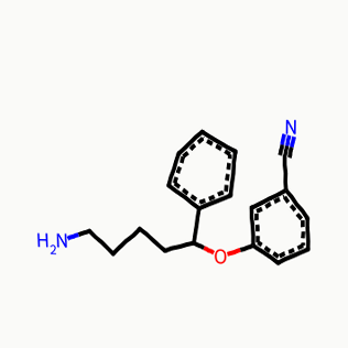 N#Cc1cccc(OC(CCCCN)c2ccccc2)c1